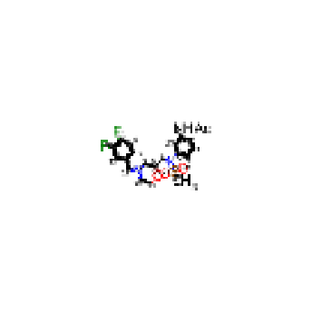 CC(=O)Nc1cccc(N(C[C@@H]2CN(Cc3ccc(F)c(F)c3)CCO2)S(C)(=O)=O)c1